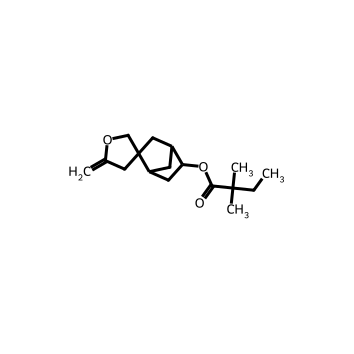 C=C1CC2(CO1)CC1CC2CC1OC(=O)C(C)(C)CC